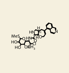 CSC1O[C@H]([C@H](NC(=O)[C@H]2NC[C@@H]3CC(c4cccc5cnccc45)=CCO[C@H]32)[C@H](C)Cl)C(O)C(O)[C@H]1O